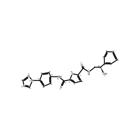 O=C(NC[C@H](O)c1ccccc1)c1ccc(C(=O)Nc2ccc(-n3cncn3)cc2)s1